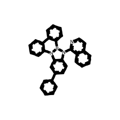 c1ccc(-c2ccc3c(c2)N2B(c4ccccc4-c4ccccc42)N3c2nccc3ccccc23)cc1